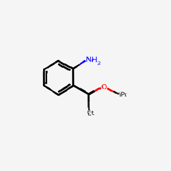 CCC(OC(C)C)c1ccccc1N